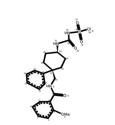 COc1ccccc1C(=O)NC[C@]1(c2ccccc2)CC[C@H](NC(=O)NS(=O)(=O)C(F)(F)F)CC1